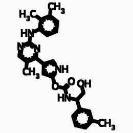 Cc1cccc(C(CO)NC(=O)Oc2cc(-c3nc(Nc4cccc(C)c4C)ncc3C)c[nH]2)c1